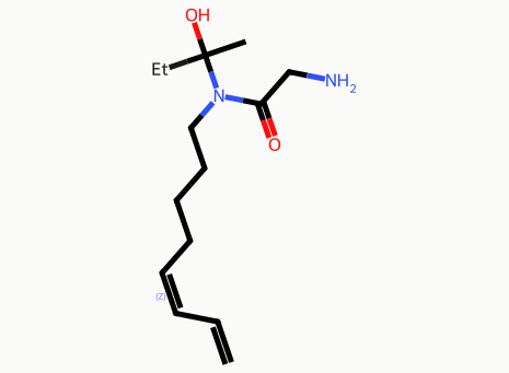 C=C/C=C\CCCCN(C(=O)CN)C(C)(O)CC